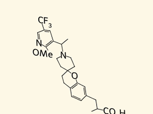 COc1ncc(C(F)(F)F)cc1C(C)N1CCC2(CCc3ccc(CC(C)C(=O)O)cc3O2)CC1